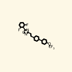 Fc1cccc(F)c1-c1nc(C=Cc2ccc(-c3ccc(OC(F)(F)F)cc3)cc2)no1